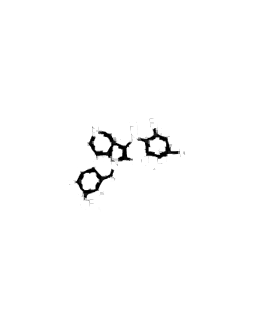 CCOC(=O)c1c(Nc2ccc(I)cc2F)c2cnccc2n1Cc1cccc(C(F)(F)F)c1